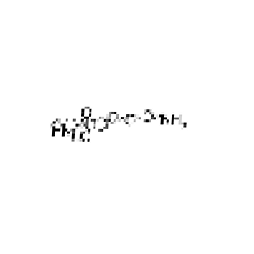 NCCOCCOCCOc1ccc2c(c1)C(=O)N(C1CCC(=O)NC1=O)C2=O